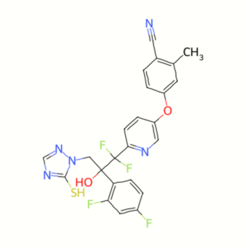 Cc1cc(Oc2ccc(C(F)(F)C(O)(Cn3ncnc3S)c3ccc(F)cc3F)nc2)ccc1C#N